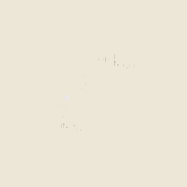 CC(C)(C)NCC(O)COc1ccc(/C=C/c2cccc3c2CC(=O)N3)cc1